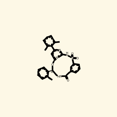 Cc1ccccc1[C@@H]1CNC(=O)c2cccc(c2)S(=O)(=O)Nc2nc(cc(-c3c(C)cccc3C)n2)O1